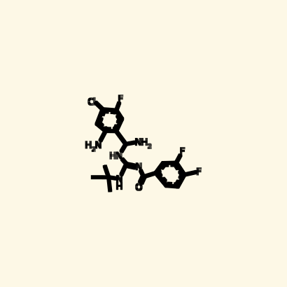 CC(C)(C)N/C(=N\C(=O)c1ccc(F)c(F)c1)NC(N)c1cc(F)c(Cl)cc1N